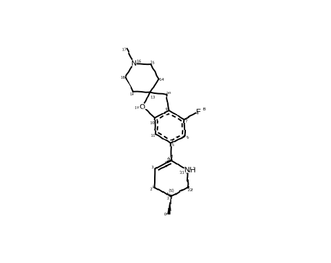 C[C@H]1CC=C(c2cc(F)c3c(c2)OC2(CCN(C)CC2)C3)NC1